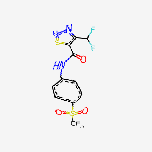 O=C(Nc1ccc(S(=O)(=O)C(F)(F)F)cc1)c1snnc1C(F)F